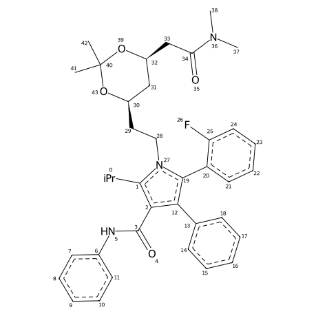 CC(C)c1c(C(=O)Nc2ccccc2)c(-c2ccccc2)c(-c2ccccc2F)n1CC[C@@H]1C[C@H](CC(=O)N(C)C)OC(C)(C)O1